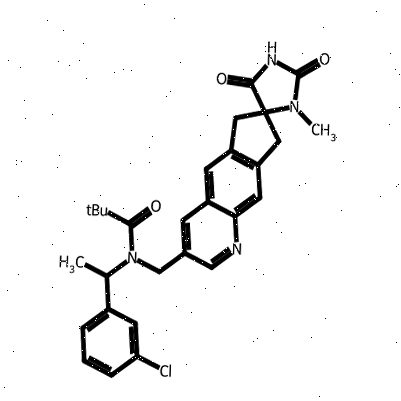 CC(c1cccc(Cl)c1)N(Cc1cnc2cc3c(cc2c1)CC1(C3)C(=O)NC(=O)N1C)C(=O)C(C)(C)C